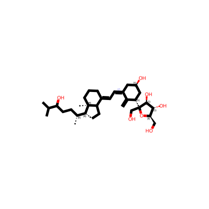 C=C1/C(=C\C=C2CCC[C@@]3(C)C2CC[C@@H]3[C@H](C)CCC(O)C(C)C)C[C@@H](O)C[C@@H]1C1(CO)O[C@H](CO)[C@@H](O)[C@@H]1O